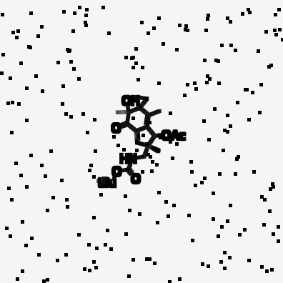 CC(=O)O[C@@H]1C2=C(C)C3(CC3)C(C)(O)C(=O)C2=C[C@@]1(C)CNC(=O)OC(C)(C)C